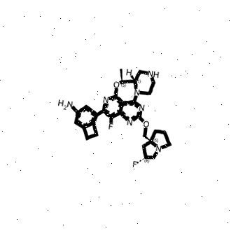 C[C@@H]1Oc2nc(-c3cc(N)cc4c3CC4)c(F)c3nc(OC[C@@]45CCCN4C[C@H](F)C5)nc(c23)N2CCNC[C@@H]12